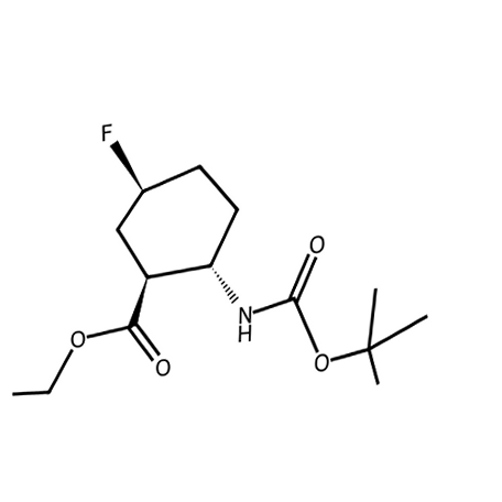 CCOC(=O)[C@H]1C[C@@H](F)CC[C@@H]1NC(=O)OC(C)(C)C